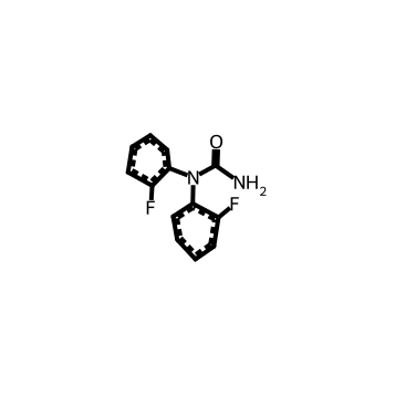 NC(=O)N(c1ccccc1F)c1ccccc1F